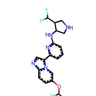 FC(F)Oc1ccc2ncc(-c3cccc(NC4CNCC4C(F)F)n3)n2c1